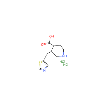 Cl.Cl.O=C(O)C1CCNCC1Cc1cncs1